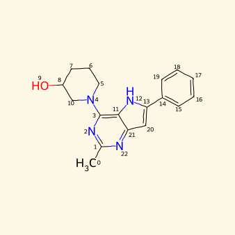 Cc1nc(N2CCCC(O)C2)c2[nH]c(-c3ccccc3)cc2n1